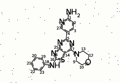 Nc1ccc(-c2nc(N3CCOCC3)c3sc(Nc4ccccc4)nc3n2)cn1